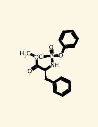 COC(=O)[C@H](Cc1ccccc1)NP(=O)(Cl)Oc1ccccc1